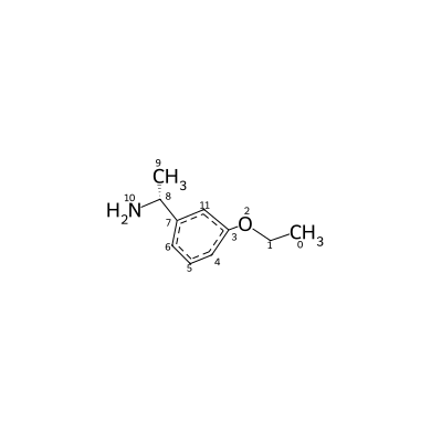 CCOc1cccc([C@@H](C)N)c1